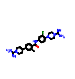 Cc1cc(C2=CCN(C(=N)N)CC2)ccc1C(=O)Nc1ccc(N2CCN(C(=N)N)CC2)c(F)c1